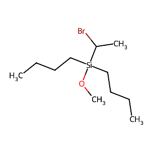 CCCC[Si](CCCC)(OC)C(C)Br